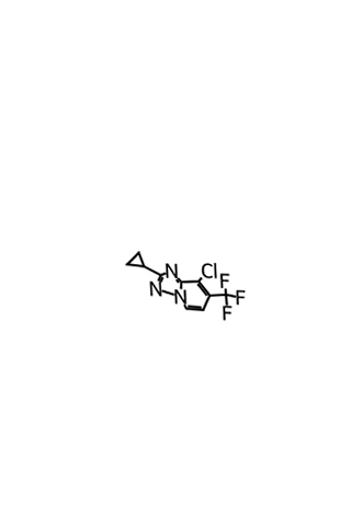 FC(F)(F)c1ccn2nc(C3CC3)nc2c1Cl